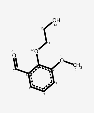 COc1cccc(C=O)c1OCCO